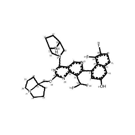 Oc1cc(-c2ncc3c(N4CC5CCC(C4)N5)nc(OCC45CCCN4CCC5)nc3c2C(F)F)c2c(F)c(F)ccc2c1